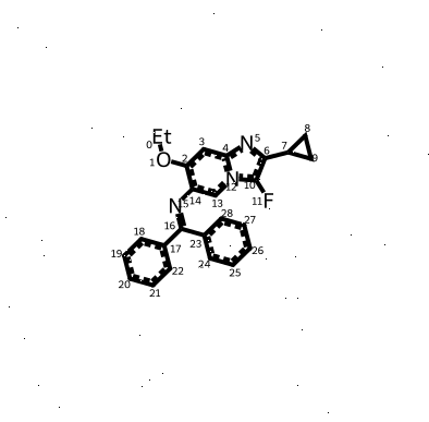 CCOc1cc2nc(C3CC3)c(F)n2cc1N=C(c1ccccc1)c1ccccc1